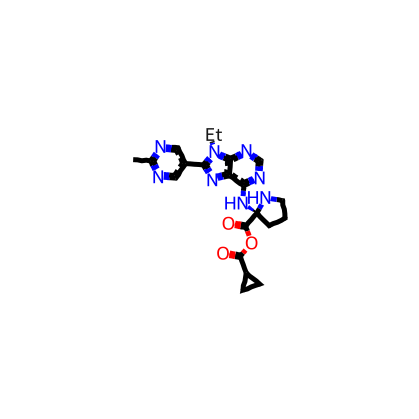 CCn1c(-c2cnc(C)nc2)nc2c(N[C@]3(C(=O)OC(=O)C4CC4)CCCN3)ncnc21